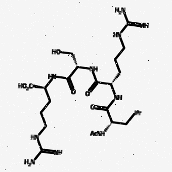 CC(=O)N[C@@H](CC(C)C)C(=O)N[C@@H](CCCNC(=N)N)C(=O)N[C@@H](CO)C(=O)N[C@@H](CCCNC(=N)N)C(=O)O